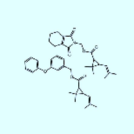 CC(C)=CC1C(C(=O)OCN2C(=O)C3=C(CCCC3)C2=O)C1(C)C.CC(C)=CC1C(C(=O)OCc2cccc(Oc3ccccc3)c2)C1(C)C